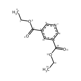 CCOC(=O)c1cncc(C(=O)OCC)c1